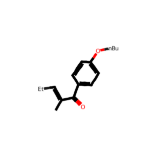 CCC=C(C)C(=O)c1ccc(OCCCC)cc1